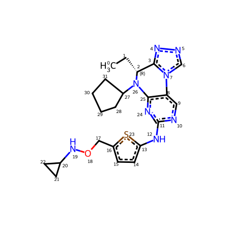 CC[C@@H]1c2nncn2-c2cnc(Nc3ccc(CONC4CC4)s3)nc2N1C1CCCC1